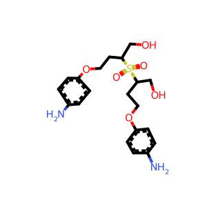 Nc1ccc(OCCC(CO)S(=O)(=O)C(CO)CCOc2ccc(N)cc2)cc1